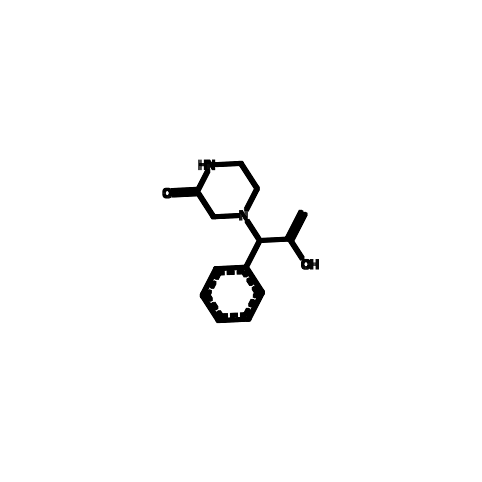 C=C(O)C(c1ccccc1)N1CCNC(=O)C1